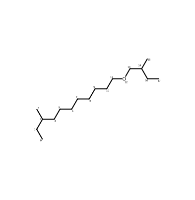 CCC(C)CCCCCCCCOCC(C)CC